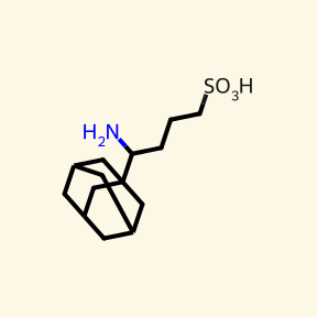 NC(CCCS(=O)(=O)O)C12CC3CC(CC(C3)C1)C2